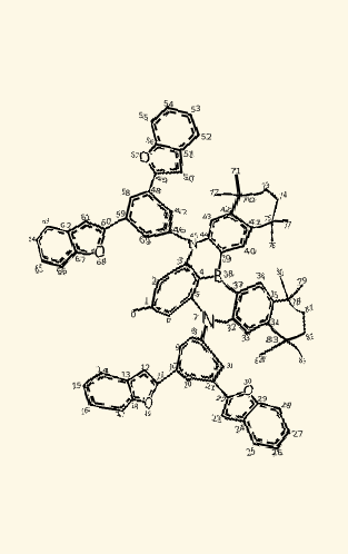 Cc1cc2c3c(c1)N(c1cc(-c4cc5ccccc5o4)cc(-c4cc5ccccc5o4)c1)c1cc4c(cc1B3c1cc3c(cc1N2c1cc(-c2cc5ccccc5o2)cc(-c2cc5ccccc5o2)c1)C(C)(C)CCC3(C)C)C(C)(C)CCC4(C)C